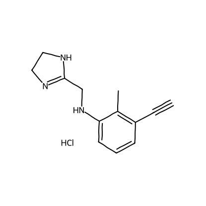 C#Cc1cccc(NCC2=NCCN2)c1C.Cl